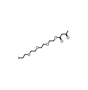 CC(=O)CC(=O)OCCOCCOCCOCCI